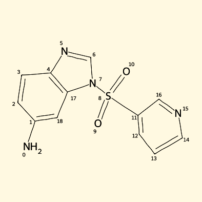 Nc1ccc2ncn(S(=O)(=O)c3cccnc3)c2c1